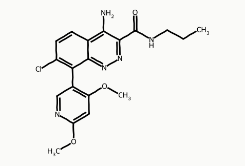 CCCNC(=O)c1nnc2c(-c3cnc(OC)cc3OC)c(Cl)ccc2c1N